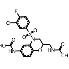 CC(=O)NCC1CN(S(=O)(=O)c2ccc(F)c(Cl)c2)c2cc(NC(=O)O)ccc2O1